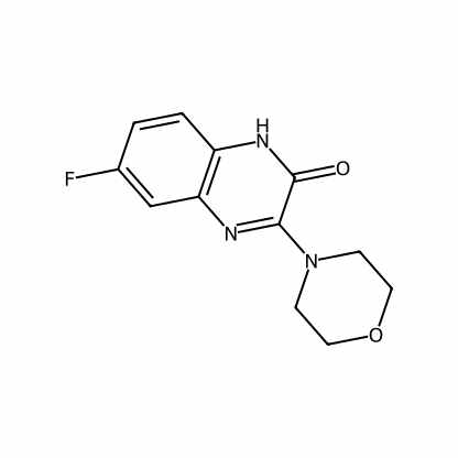 O=c1[nH]c2ccc(F)cc2nc1N1CCOCC1